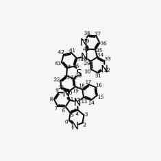 C1=NCCc2c1c1cccnc1n2-c1ccccc1-c1cccc2c1sc1c(-n3c4ccncc4c4cccnc43)cccc12